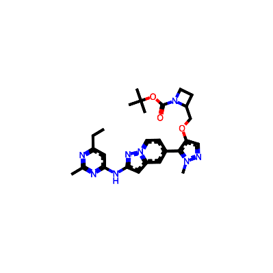 CCc1cc(Nc2cc3cc(-c4c(OCC5CCN5C(=O)OC(C)(C)C)cnn4C)ccn3n2)nc(C)n1